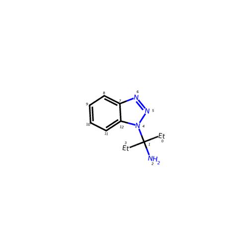 CCC(N)(CC)n1nnc2ccccc21